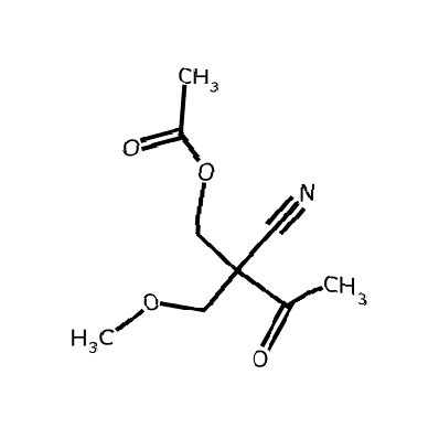 COCC(C#N)(COC(C)=O)C(C)=O